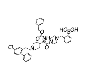 O=C(N[C@@H](C(=O)N1CCN(Cc2ccccc2B(O)O)CC1)C1CCN(CCc2cc(Cl)ccc2-c2ccccc2)CC1)OCc1ccccc1